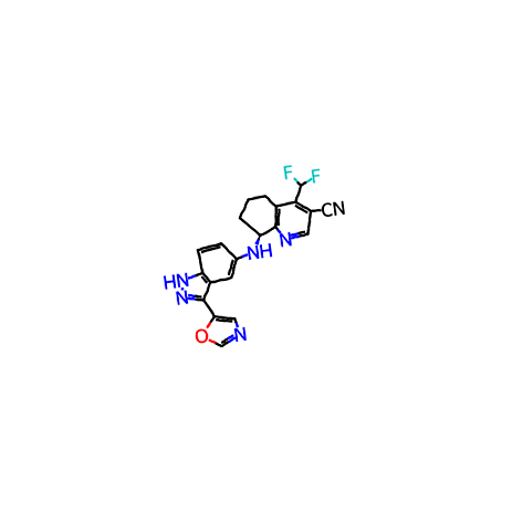 N#Cc1cnc2c(c1C(F)F)CCC[C@@H]2Nc1ccc2[nH]nc(-c3cnco3)c2c1